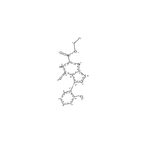 CCOC(=O)c1nc2scc(-c3ccccc3Cl)c2c(=O)[nH]1